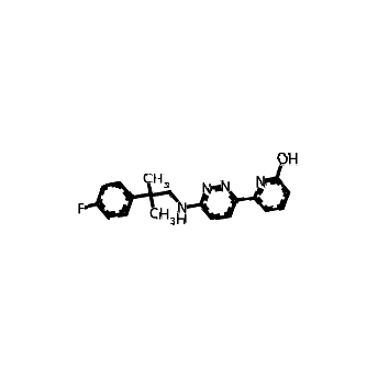 CC(C)(CNc1ccc(-c2cccc(O)n2)nn1)c1ccc(F)cc1